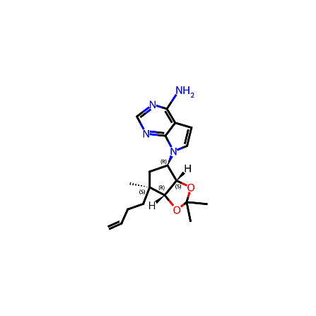 C=CCC[C@@]1(C)C[C@@H](n2ccc3c(N)ncnc32)[C@@H]2OC(C)(C)O[C@@H]21